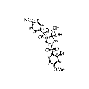 COc1ccc(S(=O)(=O)N2C[C@H](S(=O)(=O)c3ccc(C#N)cc3)[C@](O)(CO)C2)c(Br)c1